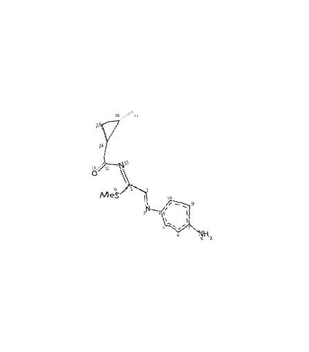 CSC(/C=N/c1ccc(N)cc1)=N\C(=O)C1C[C@@H]1C